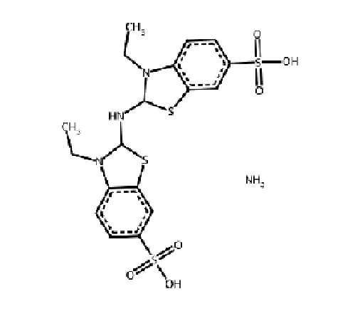 CCN1c2ccc(S(=O)(=O)O)cc2SC1NC1Sc2cc(S(=O)(=O)O)ccc2N1CC.N